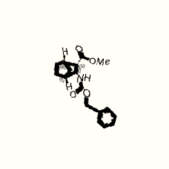 COC(=O)[C@@H]1[C@H](NC(=O)OCc2ccccc2)[C@@H]2C=C[C@H]1C2